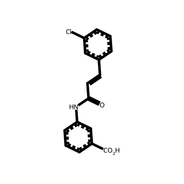 O=C(C=Cc1cccc(Cl)c1)Nc1cccc(C(=O)O)c1